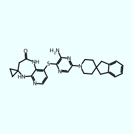 Nc1nc(N2CCC3(CC2)Cc2ccccc2C3)cnc1Sc1ccnc2c1NC(=O)CC1(CC1)N2